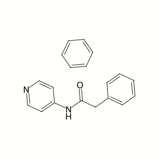 O=C(Cc1ccccc1)Nc1ccncc1.c1ccccc1